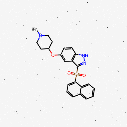 CC(C)N1CCC(Oc2ccc3[nH]nc(S(=O)(=O)c4cccc5ccccc45)c3c2)CC1